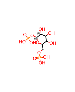 O=P(O)(O)OCC1O[C@@H](OP(=O)(O)O)[C@H](O)C(O)C1O